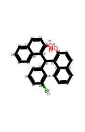 Oc1ccc2ccccc2c1C(c1cccc(Br)c1)c1c(O)ccc2ccccc12